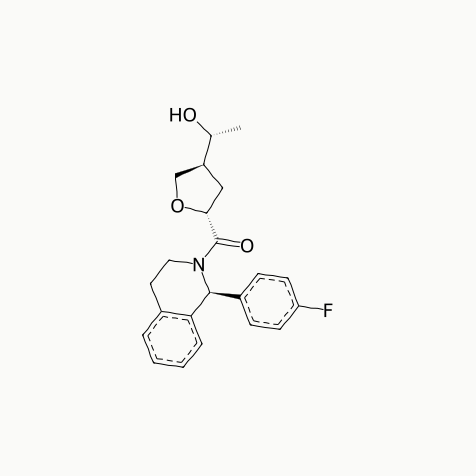 C[C@@H](O)[C@@H]1CO[C@@H](C(=O)N2CCc3ccccc3[C@@H]2c2ccc(F)cc2)C1